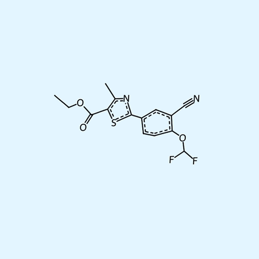 CCOC(=O)c1sc(-c2ccc(OC(F)F)c(C#N)c2)nc1C